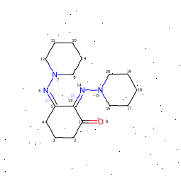 O=C1CCCC(=N/N2CCCCC2)/C1=N/N1CCCCC1